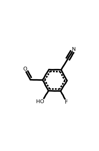 N#Cc1cc(F)c(O)c(C=O)c1